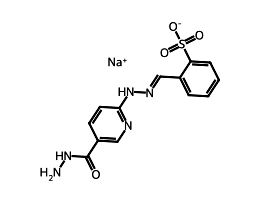 NNC(=O)c1ccc(NN=Cc2ccccc2S(=O)(=O)[O-])nc1.[Na+]